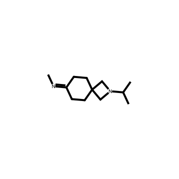 CN=C1CCC2(CC1)CN(C(C)C)C2